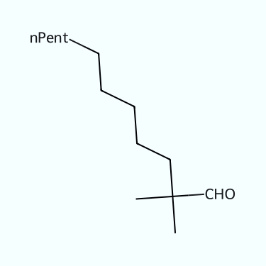 CCCCCCCCCCC(C)(C)C=O